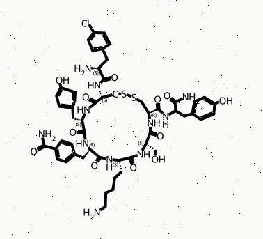 NCCCCC[C@@H]1NC(=O)[C@@H](Cc2ccc(C(N)=O)cc2)NC(=O)[C@H](Cc2ccc(O)cc2)NC(=O)[C@H](NC(=O)[C@@H](N)Cc2ccc(Cl)cc2)CSSC[C@@H](C(=O)NC(Cc2ccc(O)cc2)C(N)=O)NC(=O)[C@H](CO)NC1=O